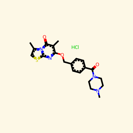 Cc1c(OCc2ccc(C(=O)N3CCN(C)CC3)cc2)nc2scc(C)n2c1=O.Cl